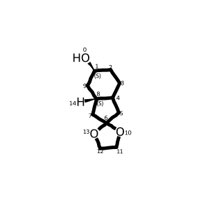 O[C@H]1CCC2CC3(C[C@@H]2C1)OCCO3